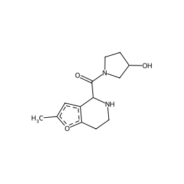 Cc1cc2c(o1)CCNC2C(=O)N1CCC(O)C1